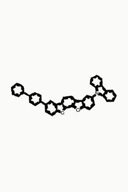 c1ccc(-c2ccc(-c3ccc4oc5c(ccc6c7cc(-n8c9ccccc9c9ccccc98)ccc7oc65)c4c3)cc2)cc1